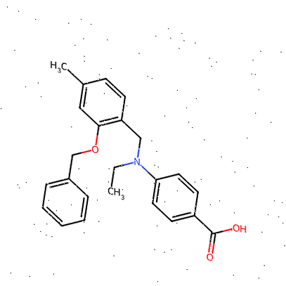 CCN(Cc1ccc(C)cc1OCc1ccccc1)c1ccc(C(=O)O)cc1